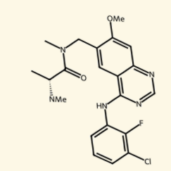 CN[C@H](C)C(=O)N(C)Cc1cc2c(Nc3cccc(Cl)c3F)ncnc2cc1OC